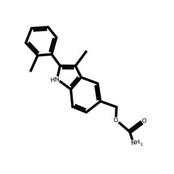 Cc1ccccc1-c1[nH]c2ccc(COC(N)=O)cc2c1C